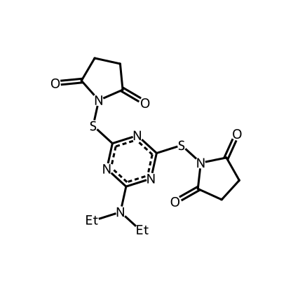 CCN(CC)c1nc(SN2C(=O)CCC2=O)nc(SN2C(=O)CCC2=O)n1